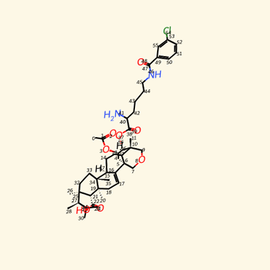 CC(=O)O[C@@H]1C[C@@]23COC[C@](C)([C@@H]2CC[C@H]2C3=CC[C@@]3(C)[C@H](C(=O)O)[C@@](C)([C@H](C)C(C)C)CC[C@]23C)[C@H]1OC(=O)C(N)CCCCNC(=O)c1cccc(Cl)c1